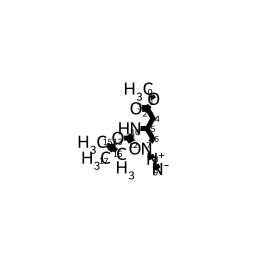 COC(=O)CC(CN=[N+]=[N-])NC(=O)OC(C)(C)C